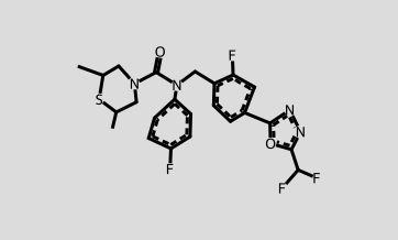 CC1CN(C(=O)N(Cc2ccc(-c3nnc(C(F)F)o3)cc2F)c2ccc(F)cc2)CC(C)S1